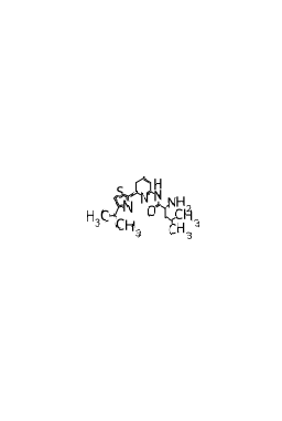 CC(C)C[C@H](N)C(=O)NC1=NC(c2nc(C(C)C)cs2)CC=C1